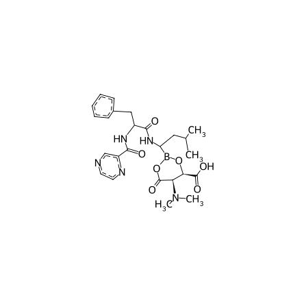 CC(C)CC(NC(=O)C(Cc1ccccc1)NC(=O)c1cnccn1)B1OC(=O)[C@H](N(C)C)[C@H](C(=O)O)O1